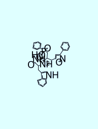 NC(=O)C(Cc1c[nH]c2ccccc12)NC(=O)C(Cc1cc(-c2ccccc2)no1)CP(=O)(O)c1ccccc1